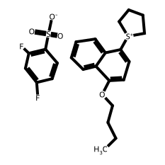 CCCCOc1ccc([S+]2CCCC2)c2ccccc12.O=S(=O)([O-])c1ccc(F)cc1F